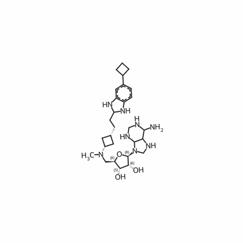 CN(C[C@H]1O[C@@H](N2CNC3C(N)NCNC32)[C@H](O)[C@@H]1O)[C@H]1C[C@@H](CCC2Nc3ccc(C4CCC4)cc3N2)C1